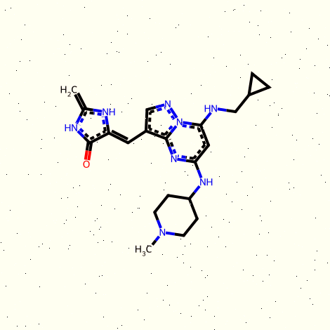 C=c1[nH]c(=O)/c(=C/c2cnn3c(NCC4CC4)cc(NC4CCN(C)CC4)nc23)[nH]1